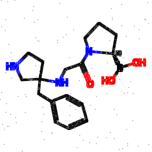 O=C(CNC1(Cc2ccccc2)CCNC1)N1CCC[C@H]1B(O)O